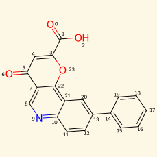 O=C(O)c1cc(=O)c2cnc3ccc(-c4ccccc4)cc3c2o1